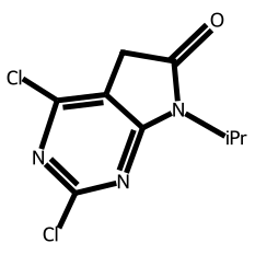 CC(C)N1C(=O)Cc2c(Cl)nc(Cl)nc21